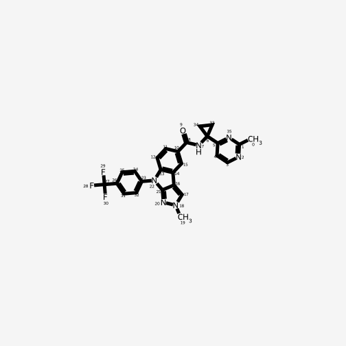 Cc1nccc(C2(NC(=O)c3ccc4c(c3)c3cn(C)nc3n4-c3ccc(C(F)(F)F)cc3)CC2)n1